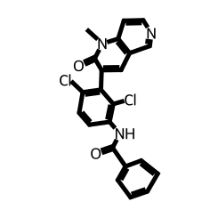 Cn1c(=O)c(-c2c(Cl)ccc(NC(=O)c3ccccc3)c2Cl)cc2cnccc21